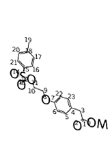 COC(=O)Cc1ccc(OCCOS(=O)(=O)c2ccc(C)cc2)cc1